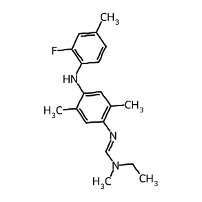 CCN(C)C=Nc1cc(C)c(Nc2ccc(C)cc2F)cc1C